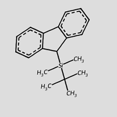 CC(C)(C)[Si](C)(C)C1c2ccccc2-c2ccccc21